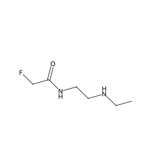 CCNCCNC(=O)CF